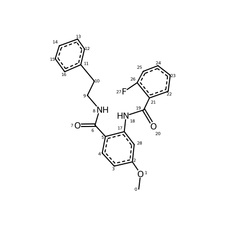 COc1ccc(C(=O)NCCc2ccccc2)c(NC(=O)c2ccccc2F)c1